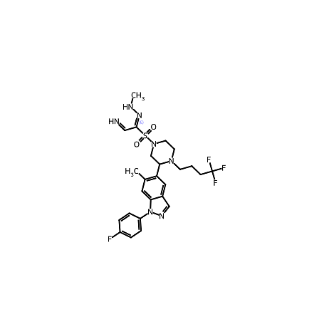 CN/N=C(\C=N)S(=O)(=O)N1CCN(CCCC(F)(F)F)C(c2cc3cnn(-c4ccc(F)cc4)c3cc2C)C1